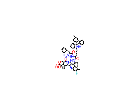 CC[C@@]1(O)C(=O)OCc2c1cc1n(c2=O)Cc2c-1nc1cc(F)c(C)c3c1c2[C@@H](NC(=O)C(CCCCNC(c1ccccc1)(c1ccccc1)c1ccc(C)cc1)NC(=O)C(N)Cc1ccccc1)CC3